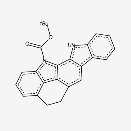 CC(C)(C)OC(=O)n1c2cccc3c2c2c(cc4c5ccccc5[nH]c4c21)CC3